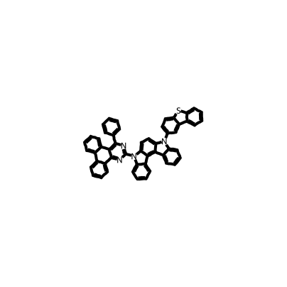 c1ccc(-c2nc(-n3c4ccccc4c4c5c6ccccc6n(-c6ccc7sc8ccccc8c7c6)c5ccc43)nc3c4ccccc4c4ccccc4c23)cc1